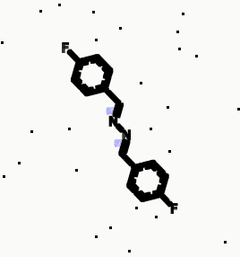 Fc1ccc(/C=N/N=C/c2ccc(F)cc2)cc1